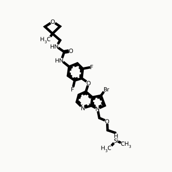 C[SiH](C)CCOCn1cc(Br)c2c(Oc3c(F)cc(NC(=O)NCC4(C)COC4)cc3F)ccnc21